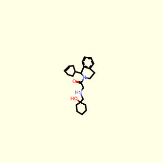 O=C(CNCC1(O)CCCCC1)N1CCc2ccccc2C1C1CC=CCC1